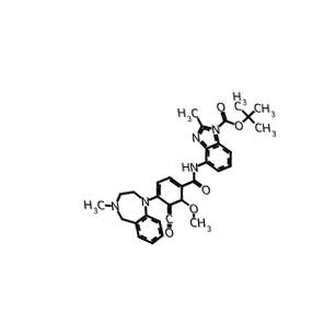 COC1C(=C=O)C(N2CCN(C)Cc3ccccc32)=CC=C1C(=O)Nc1cccc2c1nc(C)n2C(=O)OC(C)(C)C